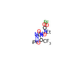 CCN(C(=O)Cn1nc(-c2cc(OC(C)C)cc(C(F)(F)F)c2)c2[nH]cnc2c1=O)c1ccc2c(c1)OC(F)(F)O2